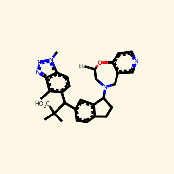 CCC1CN(C2CCc3ccc(C(c4ccc5c(nnn5C)c4C)C(C)(C)C(=O)O)cc32)Cc2cnccc2O1